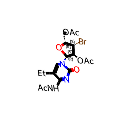 CCc1cn([C@@H]2O[C@H](COC(C)=O)[C@H](Br)[C@H]2OC(C)=O)c(=O)nc1NC(C)=O